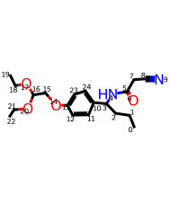 CCCC(NC(=O)CC#N)c1ccc(OCC(OCC)OCC)cc1